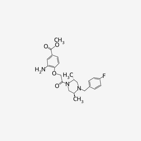 COC(=O)c1ccc(OCC(=O)N2C[C@H](C)N(Cc3ccc(F)cc3)C[C@H]2C)c(N)c1